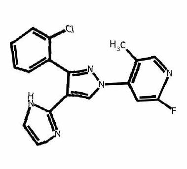 Cc1cnc(F)cc1-n1cc(-c2ncc[nH]2)c(-c2ccccc2Cl)n1